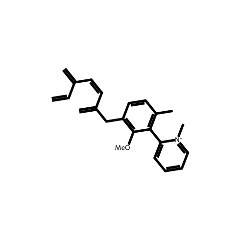 C=CC(=C)/C=C\C(=C)Cc1ccc(C)c(-c2cccc[n+]2C)c1OC